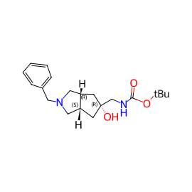 CC(C)(C)OC(=O)NC[C@]1(O)C[C@H]2CN(Cc3ccccc3)C[C@H]2C1